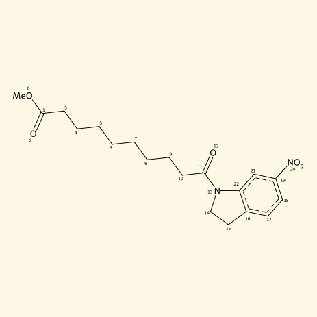 COC(=O)CCCCCCCCC(=O)N1CCc2ccc([N+](=O)[O-])cc21